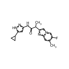 Cc1cc2nc(C(C)C(=O)Nc3cc(C4CC4)[nH]n3)cn2cc1F